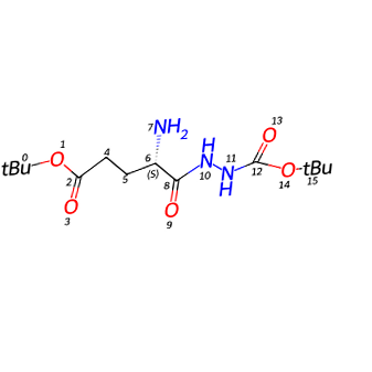 CC(C)(C)OC(=O)CC[C@H](N)C(=O)NNC(=O)OC(C)(C)C